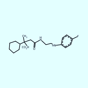 CC(CC(=O)NCCNc1ccc(F)cc1)(C(=O)O)C1CCCCC1